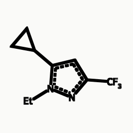 CCn1nc(C(F)(F)F)cc1C1CC1